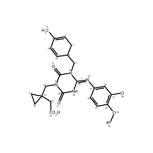 CC1=CCC(Cn2c(=O)n(CC3(CC(=O)O)CC3)c(=O)[nH]/c2=N\c2ccc(OC(C)C)c(Cl)c2)C=C1